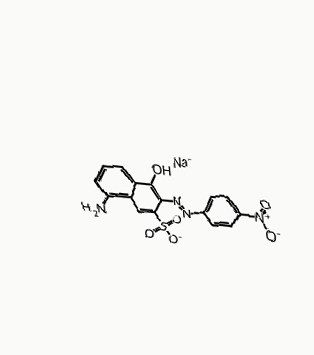 Nc1cccc2c(O)c(N=Nc3ccc([N+](=O)[O-])cc3)c(S(=O)(=O)[O-])cc12.[Na+]